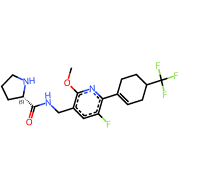 COc1nc(C2=CCC(C(F)(F)F)CC2)c(F)cc1CNC(=O)[C@@H]1CCCN1